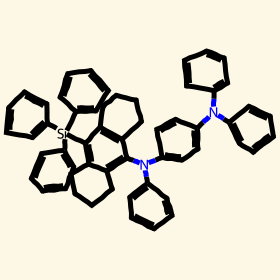 c1ccc(N(c2ccccc2)c2ccc(N(c3ccccc3)c3c4c(c([Si](c5ccccc5)(c5ccccc5)c5ccccc5)c5c3CCCC5)CCCC4)cc2)cc1